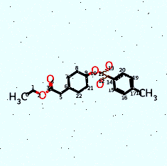 CCOC(=O)CC1CCC(OS(=O)(=O)c2ccc(C)cc2)CC1